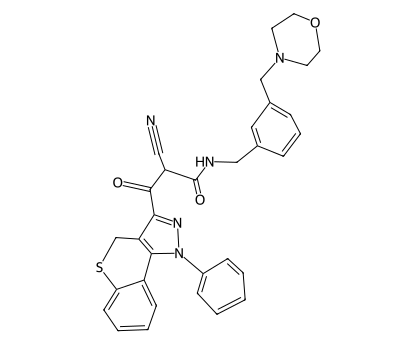 N#CC(C(=O)NCc1cccc(CN2CCOCC2)c1)C(=O)c1nn(-c2ccccc2)c2c1CSc1ccccc1-2